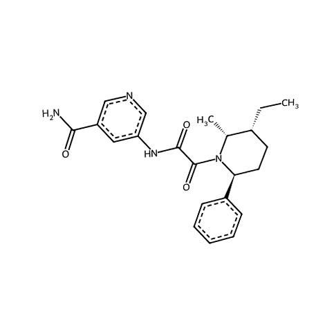 CC[C@@H]1CC[C@@H](c2ccccc2)N(C(=O)C(=O)Nc2cncc(C(N)=O)c2)[C@@H]1C